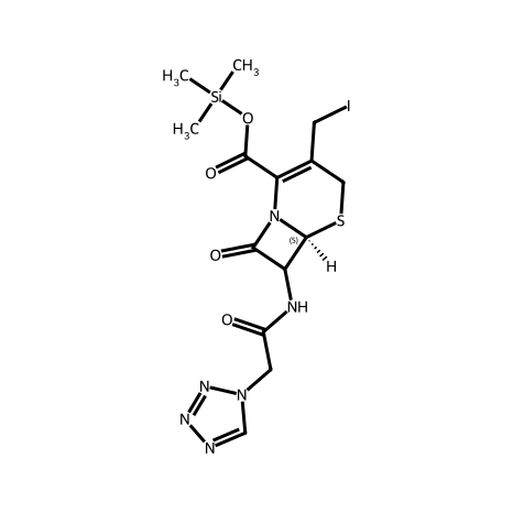 C[Si](C)(C)OC(=O)C1=C(CI)CS[C@H]2C(NC(=O)Cn3cnnn3)C(=O)N12